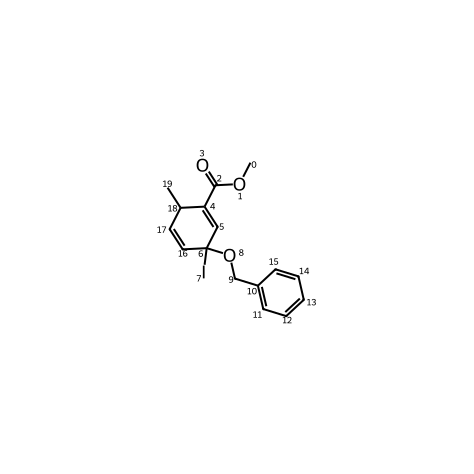 COC(=O)C1=CC(I)(OCc2ccccc2)C=CC1C